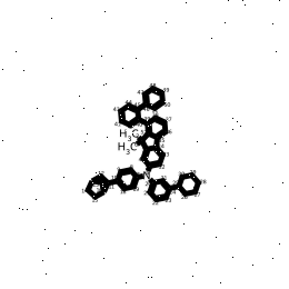 CC1(C)c2cc(N(c3ccc(C4CC5CCC4C5)cc3)c3cccc(C4CCCCC4)c3)ccc2-c2cccc(-c3ccccc3-c3ccccc3)c21